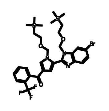 C[Si](C)(C)CCOCn1cc(C(=O)c2ccccc2C(F)(F)F)cc1-c1nc2ccc(Br)cc2n1COCC[Si](C)(C)C